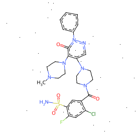 CN1CCN(c2c(N3CCN(C(=O)c4cc(S(N)(=O)=O)c(F)cc4Cl)CC3)cnn(-c3ccccc3)c2=O)CC1